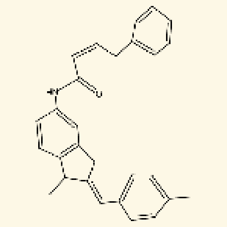 Cc1ccc(/C=C2\Cc3cc(NC(=O)/C=C\Cc4ccccc4)ccc3C2C)cc1